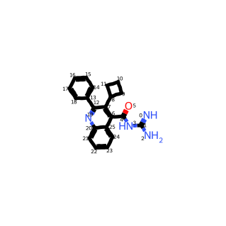 N=C(N)NC(=O)c1c(C2CCC2)c(-c2ccccc2)nc2ccccc12